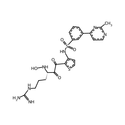 Cc1nccc(-c2cccc(S(=O)(=O)Nc3ccsc3C(=O)C(=O)[C@H](CCCNC(=N)N)NO)c2)n1